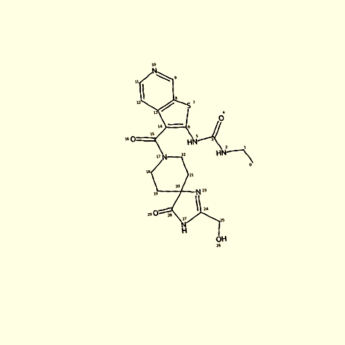 CCNC(=O)Nc1sc2cnccc2c1C(=O)N1CCC2(CC1)N=C(CO)NC2=O